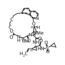 C=C[C@@H]1C[C@]1(NC(=O)[C@@H]1C[C@H]2Oc3nccc4ccc(cc34)CCCCCOC(=O)N[C@@H](C(C)(C)C)C(=O)N1C2OC)C(=O)NS(=O)(=O)C1CC1